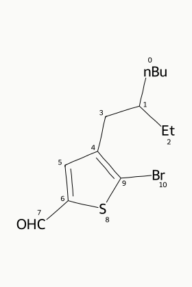 CCCCC(CC)Cc1cc(C=O)sc1Br